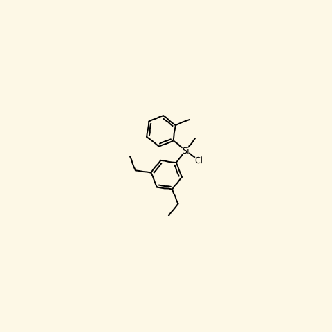 CCc1cc(CC)cc([Si](C)(Cl)c2ccccc2C)c1